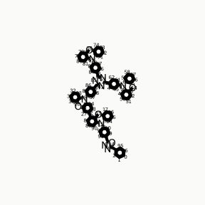 c1ccc(-c2nnc(-c3ccc(N4c5ccccc5Oc5c(-c6ccc7c(c6)Oc6ccccc6N7c6ccc(-c7nc(-c8ccc(N9c%10ccccc%10Oc%10ccccc%109)cc8)nc(-c8ccc(N9c%10ccccc%10Oc%10ccccc%109)cc8)n7)cc6)cccc54)cc3)o2)cc1